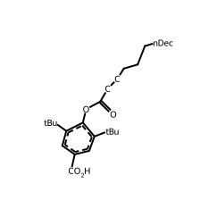 CCCCCCCCCCCCCCCC(=O)Oc1c(C(C)(C)C)cc(C(=O)O)cc1C(C)(C)C